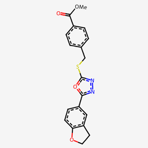 COC(=O)c1ccc(CSc2nnc(-c3ccc4c(c3)CCO4)o2)cc1